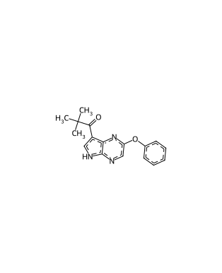 CC(C)(C)C(=O)c1c[nH]c2ncc(Oc3ccccc3)nc12